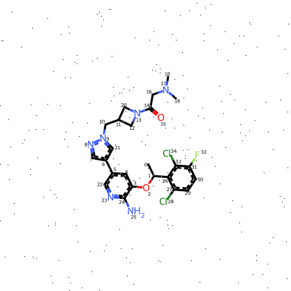 CC(Oc1cc(-c2cnn(CC3CN(C(=O)CN(C)C)C3)c2)cnc1N)c1c(Cl)ccc(F)c1Cl